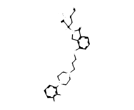 CNC(=O)[C@](C)(CCC=O)N1Cc2c(OCCCN3CCN(c4cccc(Cl)c4Cl)CC3)cccc2C1=O